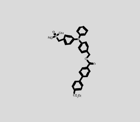 CCOC(=O)c1ccc(-c2ccc(C(=O)OCc3ccc(N(c4ccccc4)c4ccc(CP(=O)(O)O)cc4)cc3)cc2)cc1